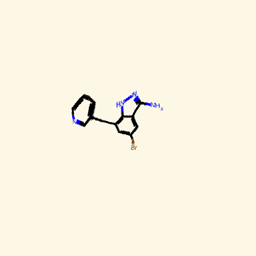 Nc1n[nH]c2c(-c3cccnc3)cc(Br)cc12